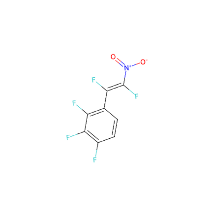 O=[N+]([O-])C(F)=C(F)c1ccc(F)c(F)c1F